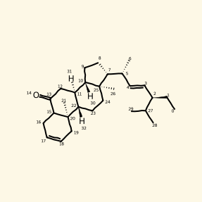 CC[C@H](/C=C/[C@@H](C)[C@H]1CC[C@H]2[C@@H]3CC(=O)C4CC=CC[C@]4(C)[C@H]3CC[C@]12C)C(C)C